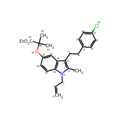 C=CCn1c(C)c(CCc2ccc(Cl)cc2)c2cc(OC(C)(C)C(=O)OCC)ccc21